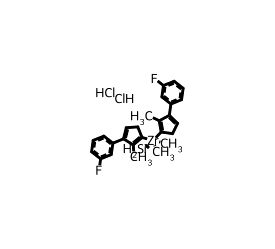 CC1=[C]([Zr]([CH3])([CH3])(=[SiH2])[C]2=C(C)C(c3cccc(F)c3)=CC2)CC=C1c1cccc(F)c1.Cl.Cl